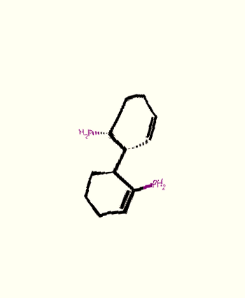 PC1=CCCC[C@H]1[C@H]1C=CCC[C@H]1P